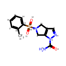 NC(=O)n1n[c]c2c1CN(S(=O)(=O)c1ccccc1C(F)(F)F)C2